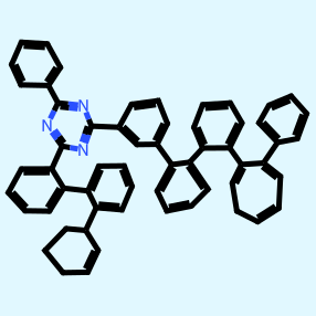 C1=CCC=C(c2ccccc2-c2ccccc2-c2cccc(-c3nc(-c4ccccc4)nc(-c4ccccc4-c4ccccc4C4C=CCCC4)n3)c2)C(c2ccccc2)=C1